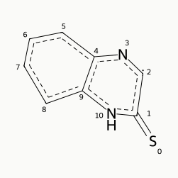 S=c1[c]nc2ccccc2[nH]1